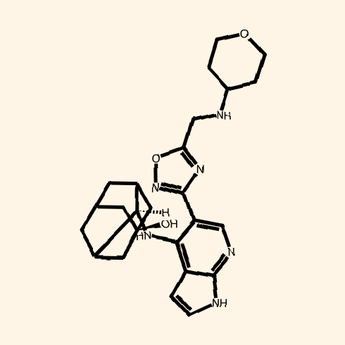 O[C@]12CC3CC(C1)[C@H](Nc1c(-c4noc(CNC5CCOCC5)n4)cnc4[nH]ccc14)C(C3)C2